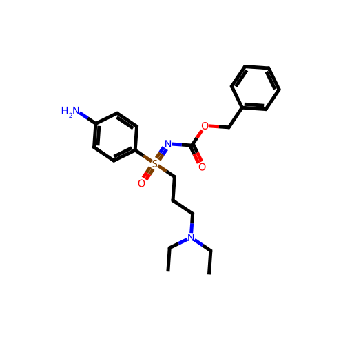 CCN(CC)CCCS(=O)(=NC(=O)OCc1ccccc1)c1ccc(N)cc1